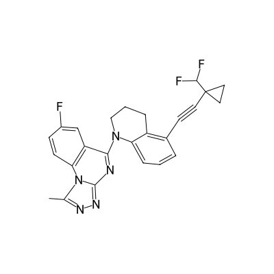 Cc1nnc2nc(N3CCCc4c(C#CC5(C(F)F)CC5)cccc43)c3cc(F)ccc3n12